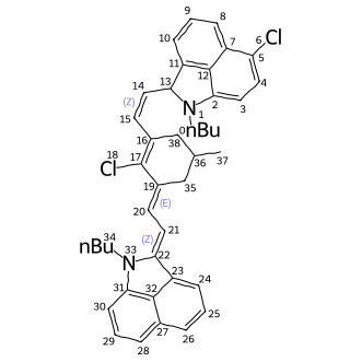 CCCCN1c2ccc(Cl)c3cccc(c23)C1/C=C\C1=C(Cl)C(=C/C=c2/c3cccc4cccc(c43)n2CCCC)/CC(C)C1